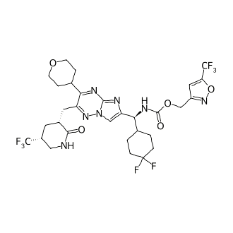 O=C(N[C@H](c1cn2nc(C[C@H]3C[C@@H](C(F)(F)F)CNC3=O)c(C3CCOCC3)nc2n1)C1CCC(F)(F)CC1)OCc1cc(C(F)(F)F)on1